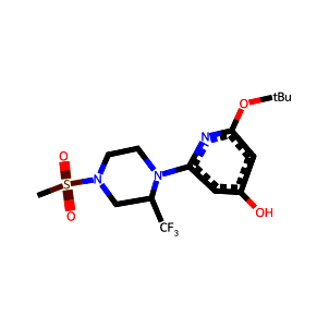 CC(C)(C)Oc1cc(O)cc(N2CCN(S(C)(=O)=O)CC2C(F)(F)F)n1